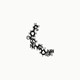 CS(=O)(=O)Nc1cccc(-c2nc(-c3nnc4n3CCN(C(=O)c3ccc(-c5cccs5)cc3)C4)cs2)c1